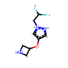 FC(F)Cn1cc(OC2CNC2)cn1